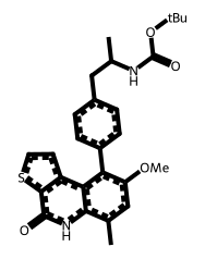 COc1cc(C)c2[nH]c(=O)c3sccc3c2c1-c1ccc(CC(C)NC(=O)OC(C)(C)C)cc1